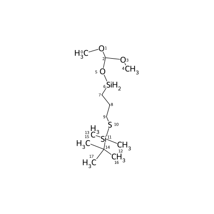 COC(OC)O[SiH2]CCCS[Si](C)(C)C(C)(C)C